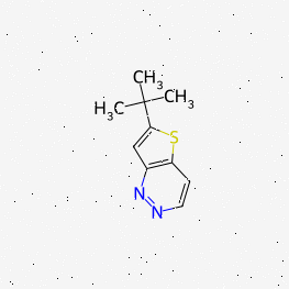 CC(C)(C)c1cc2nnccc2s1